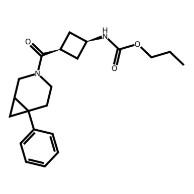 CCCOC(=O)N[C@H]1C[C@@H](C(=O)N2CCC3(c4ccccc4)CC3C2)C1